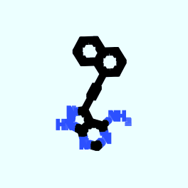 Nc1ncnc2[nH]nc(C#Cc3cccc4ccccc34)c12